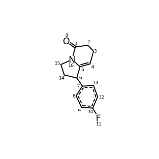 O=C1CCC=C2C(c3ccc(F)cc3)CCN12